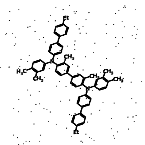 CCc1ccc(-c2ccc(N(c3ccc(C)c(C)c3)c3ccc(-c4ccc(N(c5ccc(-c6ccc(CC)cc6)cc5)c5ccc(C)c(C)c5)c(C)c4)cc3C)cc2)cc1